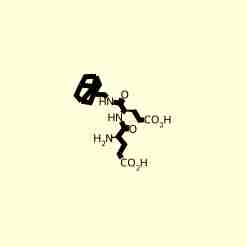 N[C@@H](CCC(=O)O)C(=O)N[C@H](CCC(=O)O)C(=O)NCC12CC3CC(CC(C3)C1)C2